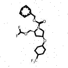 O=C(OCc1ccccc1)N1C[C@@H](OC2CCC(C(F)(F)F)CC2)C[C@H]1COC(F)F